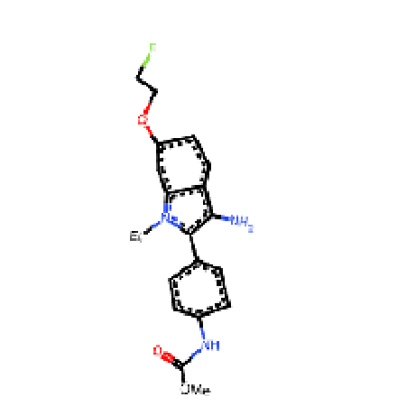 CCn1c(-c2ccc(NC(=O)OC)cc2)c(N)c2ccc(OCCF)cc21